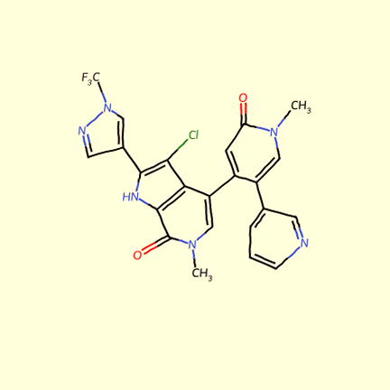 Cn1cc(-c2cccnc2)c(-c2cn(C)c(=O)c3[nH]c(-c4cnn(C(F)(F)F)c4)c(Cl)c23)cc1=O